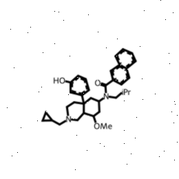 COC1CC(N(CC(C)C)C(=O)c2ccc3ccccc3c2)CC2(c3cccc(O)c3)CCN(CC3CC3)CC12